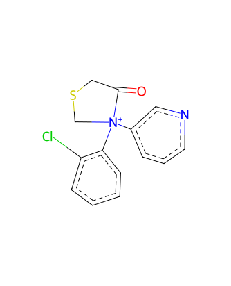 O=C1CSC[N+]1(c1cccnc1)c1ccccc1Cl